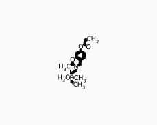 C=CC(=O)Oc1ccc(CN(CC[PH](C)(C)CC)C(C)=O)cc1